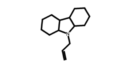 C=CCN1C2CCCCC2C2CCCCC21